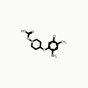 Cc1cc(N)c(OC2CCN(OC(=O)O)CC2)cc1Cl